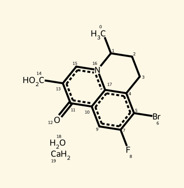 CC1CCc2c(Br)c(F)cc3c(=O)c(C(=O)O)cn1c23.O.[CaH2]